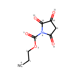 N#CCCOC(=O)N1C(=O)CC(=O)C1=O